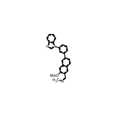 C/N=C\c1cc2ccc(-c3cccc(-n4cnc5ccccc54)c3)cc2cc1OC